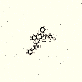 O=C(CN1C(=O)[C@@H](NC(=O)[C@@H]2CCC(=O)N2)[C@H](c2ccccc2)Nc2ccccc21)NCCc1ccccc1